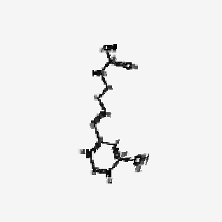 O=C(O)NCCC=Cc1cc(O)ncn1